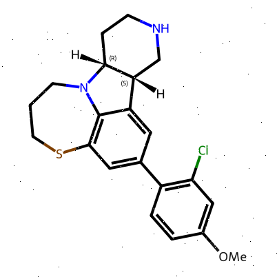 COc1ccc(-c2cc3c4c(c2)[C@H]2CNCC[C@H]2N4CCCS3)c(Cl)c1